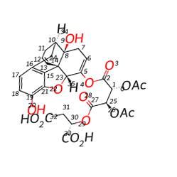 CC(=O)O[C@@H](C(=O)OC1=CC[C@@]2(O)[C@@H]3CC=C[C@@]24c2c(ccc(O)c2O[C@@H]14)C3)[C@@H](OC(C)=O)C(=O)O[C@@H](CC(=O)O)C(=O)O